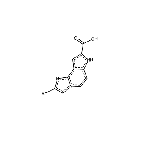 O=C(O)c1cc2c(ccn3cc(Br)nc23)[nH]1